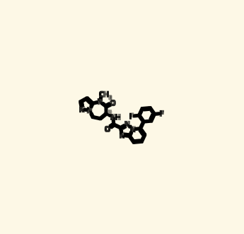 CN1C(=O)[C@@H](NC(=O)c2nc3cccc(C4C=C(F)C=CC4F)n3n2)CCn2nccc21